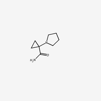 NC(=O)C1(N2CCCC2)CC1